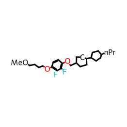 CCCC1CCC(C2CCC(COc3ccc(OCCCCOC)c(F)c3F)CC2)CC1